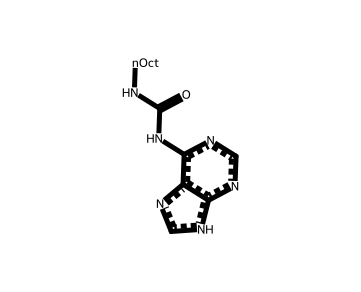 CCCCCCCCNC(=O)Nc1ncnc2[nH]cnc12